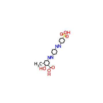 Cc1cc(N=Nc2ccc(N=Nc3ccc(S(=O)(=O)O)cc3)cc2)cc(C(=O)O)c1O